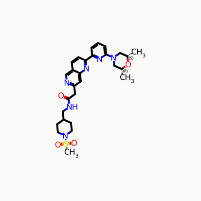 C[C@@H]1CN(c2cccc(-c3ccc4cnc(CC(=O)NCC5CCN(S(C)(=O)=O)CC5)cc4n3)n2)C[C@H](C)O1